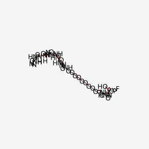 Cc1cc(F)cc(C)c1Oc1ccc(C(C)(C)O)cc1-c1cn(C)c(=O)c2[nH]c(C(=O)Nc3ccc(OCCOCCOCCOCCOCCOCCOCCOCCOCCNC(=O)c4nc(NC(=O)CCNC(=O)c5cc(NC(=O)c6nc(NC(=O)CCNC(=O)c7cc(NC(=O)c8nccn8C)c[nH]7)cn6C)c[nH]5)cn4C)cc3)cc12